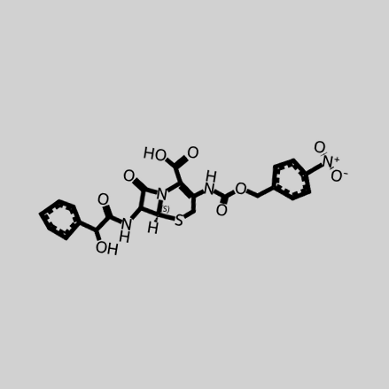 O=C(NC1=C(C(=O)O)N2C(=O)C(NC(=O)C(O)c3ccccc3)[C@@H]2SC1)OCc1ccc([N+](=O)[O-])cc1